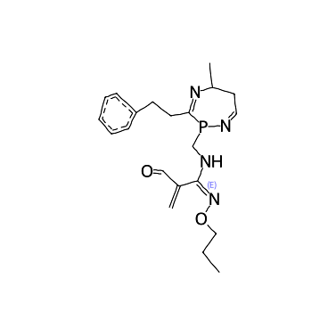 C=C(C=O)/C(=N\OCCC)NCP1N=CCC(C)N=C1CCc1ccccc1